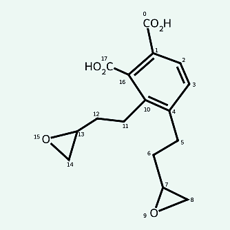 O=C(O)c1ccc(CCC2CO2)c(CCC2CO2)c1C(=O)O